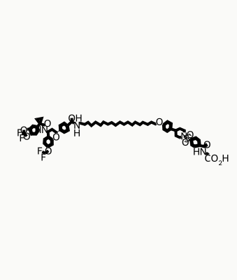 O=C(O)CNC(=O)c1ccc(S(=O)(=O)N2CCC(c3ccc(OCCCCCCCCCCCCCCCCCCCCNC(O)c4ccc([C@H]5C[C@@H](NC(=O)C6(c7ccc8c(c7)OC(F)(F)O8)CC6)c6ccc(OC(F)F)cc6O5)cc4)cc3)CC2)cc1